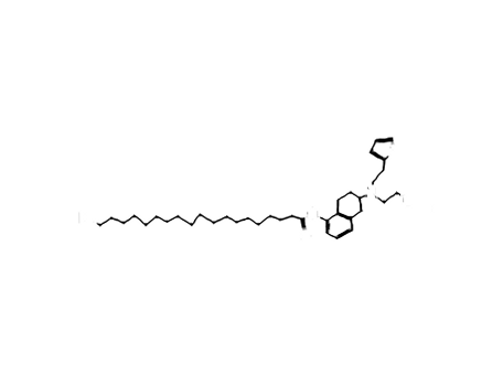 CCCN(CCc1cccs1)C1CCc2c(cccc2OC(=O)CCCCCCCCCCCCCCCCCCO)C1